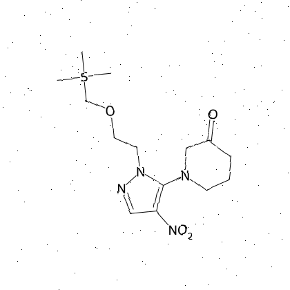 CS(C)(C)COCCn1ncc([N+](=O)[O-])c1N1CCCC(=O)C1